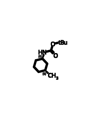 C[C@H]1CCC[C@@H](NC(=O)OC(C)(C)C)C1